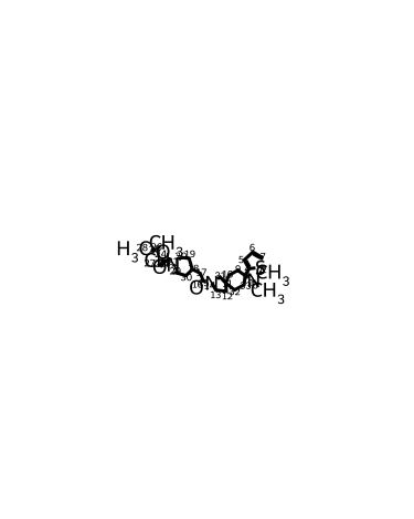 CN(C)C1(c2cccs2)CCC2(CCN(C(=O)CC3CCN(C(=O)OC(C)(C)C)CC3)C2)CC1